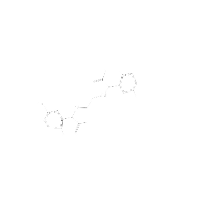 O=C(O)C(NCCNC(C(=O)O)c1cc(Cl)ccc1O)c1cc(Cl)ccc1O